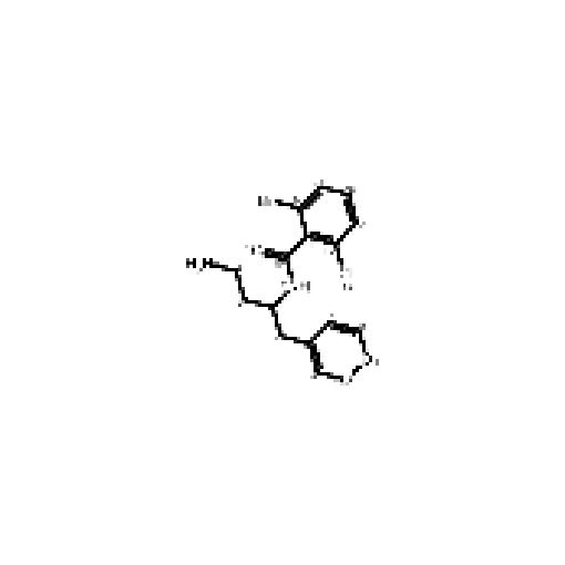 NCCC(CC1=COOC=C1)NC(=O)c1c(Cl)cccc1Br